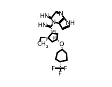 CC[C@@H]1C[C@@H](O[C@H]2CC[C@@H](C(F)(F)F)CC2)C[C@H]1C(=N)n1c(=N)cnc2[nH]ccc21